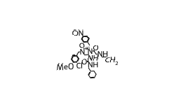 C=CCNCC(=O)N1C(NC(=O)NCC2=CC=CCC2)CN(Cc2ccc(OC)c(Cl)c2)C(=O)[C@@H]1Cc1ccc(N=O)cc1